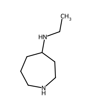 CCNC1CCCNCC1